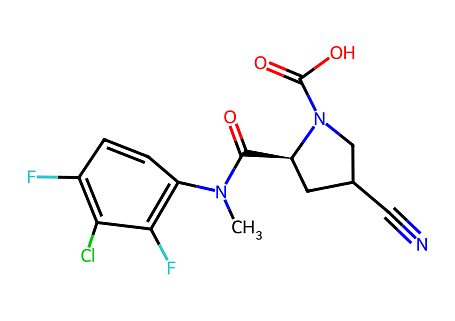 CN(C(=O)[C@@H]1CC(C#N)CN1C(=O)O)c1ccc(F)c(Cl)c1F